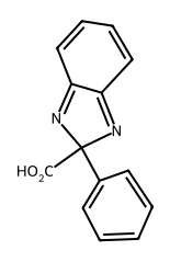 O=C(O)C1(c2ccccc2)N=c2ccccc2=N1